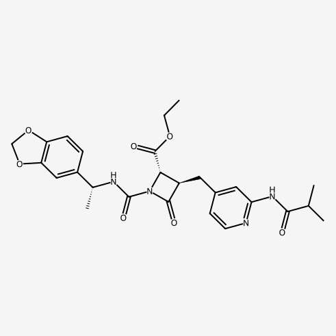 CCOC(=O)[C@@H]1[C@@H](Cc2ccnc(NC(=O)C(C)C)c2)C(=O)N1C(=O)N[C@H](C)c1ccc2c(c1)OCO2